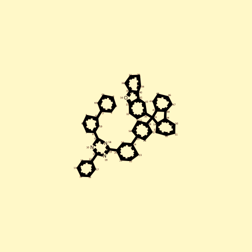 c1ccc(-c2cccc(-c3nc(-c4ccccc4)nc(-c4cccc(-c5ccc(C6(c7ccc8oc9ccccc9c8c7)c7ccccc7-c7ccccc76)cc5)c4)n3)c2)cc1